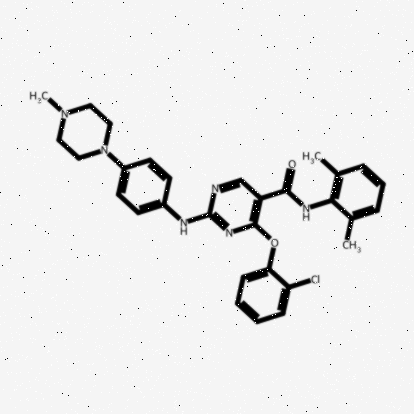 Cc1cccc(C)c1NC(=O)c1cnc(Nc2ccc(N3CCN(C)CC3)cc2)nc1Oc1ccccc1Cl